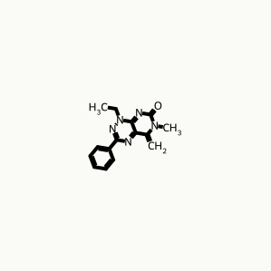 C=c1c2c(nc(=O)n1C)N(CC)N=C(c1ccccc1)N=2